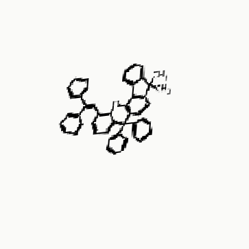 CC1(C)c2ccccc2-c2c1ccc1c2Oc2c(C=C(c3ccccc3)c3ccccc3)cccc2C1(c1ccccc1)c1ccccc1